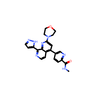 CNC(=O)c1ccc(-c2cc(N3CCOCC3)nc3c(-c4ccn[nH]4)nccc23)cn1